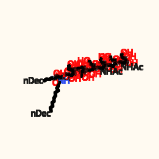 CCCCCCCCCCCCC/C=C/[C@@H](O)[C@H](CO[C@@H]1OC(CO)[C@@H](O[C@@H]2OC(CO)[C@H](O[C@@H]3OC(CO)[C@H](O)[C@H](O[C@@H]4OC(CO)[C@H](O)[C@H](O[C@@H]5OC(CO)[C@H](O)[C@H](O[C@H]6OC(CO)[C@H](O)[C@H](O)C6NC(C)=O)C5O)C4NC(C)=O)C3O)[C@H](O)C2O)[C@H](O)C1O)NC(=O)CCCCCCCCCCCCCCCCCCCCC